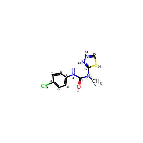 CN(C(=O)Nc1ccc(Cl)cc1)c1nncs1